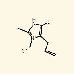 C=CCc1c(Cl)[nH]c(C)[n+]1C.[Cl-]